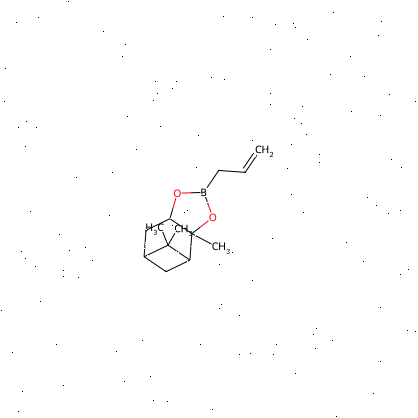 C=CCB1OC2CC3CC(C3(C)C)C2(C)O1